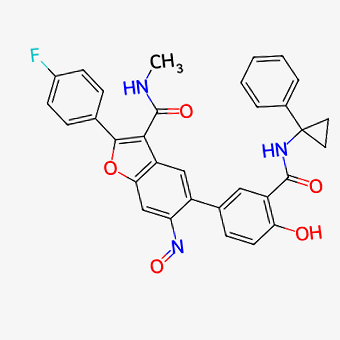 CNC(=O)c1c(-c2ccc(F)cc2)oc2cc(N=O)c(-c3ccc(O)c(C(=O)NC4(c5ccccc5)CC4)c3)cc12